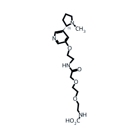 CN1CCC[C@H]1c1cncc(OCCNC(=O)COCCOCCNC(=O)O)c1